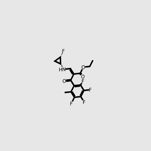 CCOC(=O)/C(=C/N[C@@H]1C[C@@H]1F)C(=O)c1c(C)c(F)c(F)c(F)c1F